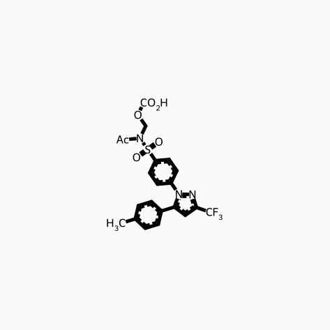 CC(=O)N(COC(=O)O)S(=O)(=O)c1ccc(-n2nc(C(F)(F)F)cc2-c2ccc(C)cc2)cc1